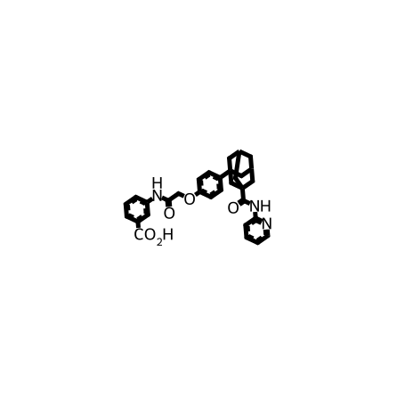 O=C(COc1ccc(C23CC4CC(CC(C(=O)Nc5ccccn5)(C4)C2)C3)cc1)Nc1cccc(C(=O)O)c1